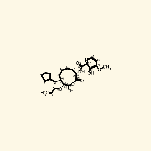 CCCO[C@@H]1[C@@H](CC2CCCC2)CCCC[C@H](NC(=O)c2nccc(OC)c2O)C(=O)O[C@H]1C